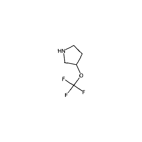 FC(F)(F)OC1CCNC1